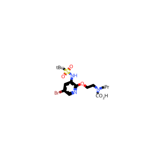 CC(C)N(CCOc1ncc(Br)cc1NS(=O)(=O)C(C)(C)C)C(=O)O